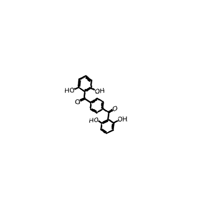 O=C(c1ccc(C(=O)c2c(O)cccc2O)cc1)c1c(O)cccc1O